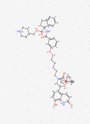 CC(C)(C)OC(=O)N(CCCCCCOc1cccc(C(=O)NC2(C(=O)OCC3CCNCC3)CCc3ccccc32)c1)CC(O[Si](C)(C)C(C)(C)C)c1ccc(O)c2[nH]c(=O)ccc12